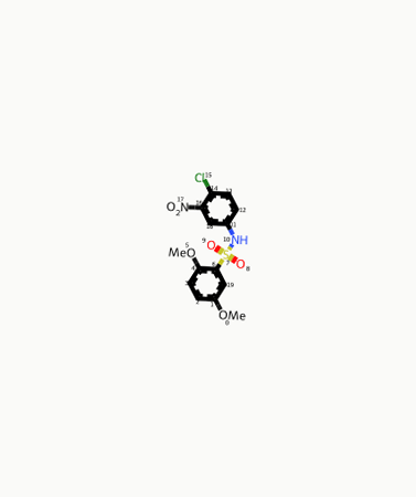 COc1ccc(OC)c(S(=O)(=O)Nc2ccc(Cl)c([N+](=O)[O-])c2)c1